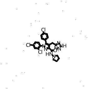 O=C(NN1CCCC1)c1nn(-c2ccc(Cl)cc2Cl)c(-c2ccc(Cl)cc2)c1Cc1nn[nH]n1